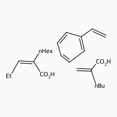 C=C(CCCC)C(=O)O.C=Cc1ccccc1.CCC=C(CCCCCC)C(=O)O